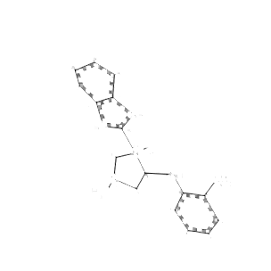 Cc1ccccc1NC1CN(C)C[N+]1([O-])c1nc2ccccc2s1